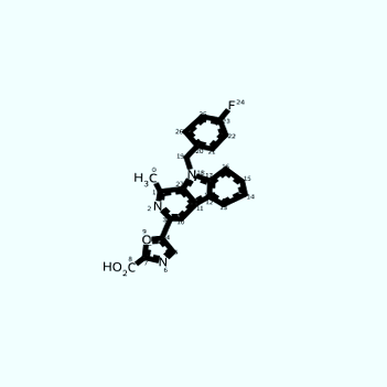 Cc1nc(-c2cnc(C(=O)O)o2)cc2c3ccccc3n(Cc3ccc(F)cc3)c12